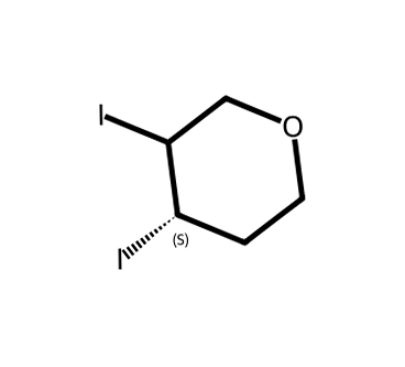 IC1COCC[C@@H]1I